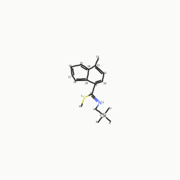 CSC(=NC[Si](C)(C)C)c1ccc(C)c2ccccc12